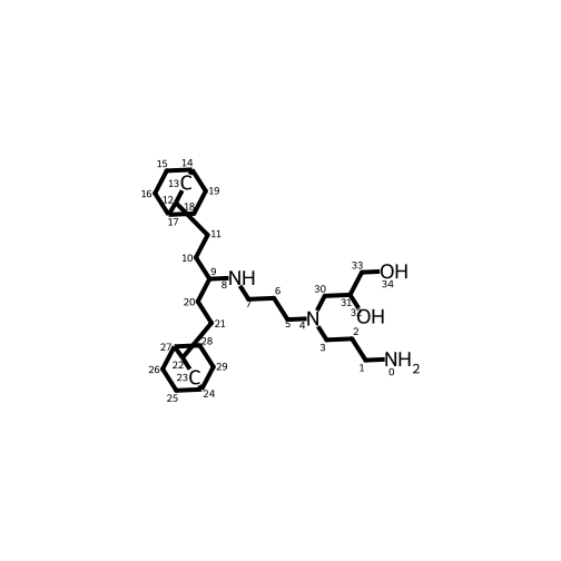 NCCCN(CCCNC(CCC1CC2CCC1CC2)CCC1CC2CCC1CC2)CC(O)CO